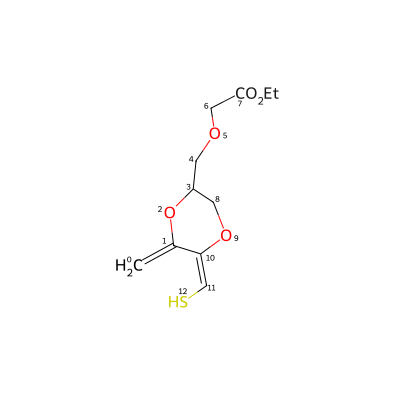 C=C1OC(COCC(=O)OCC)CO/C1=C/S